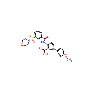 COc1ccc(-c2ccc(NC(=O)c3cccc(S(=O)(=O)N4CCOCC4)c3)c(C(=O)O)c2)cc1